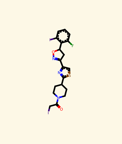 O=C(CI)N1CCC(c2nc(C3=NOC(c4c(F)cccc4I)C3)cs2)CC1